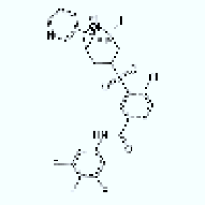 C[C@H]1CC2CC(S(=O)(=O)c3cc(C(=O)Nc4cc(F)c(F)c(F)c4)ccc3Cl)C[C@H]1[C@@]2(O)c1cccnc1